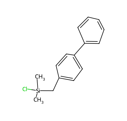 C[Si](C)(Cl)Cc1ccc(-c2ccccc2)cc1